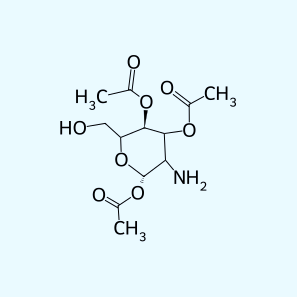 CC(=O)OC1C(N)[C@H](OC(C)=O)OC(CO)[C@H]1OC(C)=O